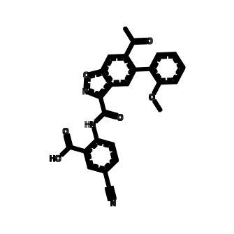 COc1ccccc1-c1cc2c(C(=O)Nc3ccc(C#N)cc3C(=O)O)noc2cc1C(C)=O